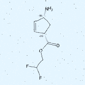 N[C@H]1C=C[C@@H](C(=O)OCC(F)F)C1